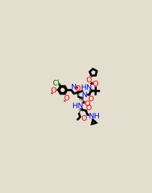 CCC[C@H](NC(=O)[C@@H]1C[C@]2(CC(c3cc(Cl)c(OC)cc3OC)=NO2)CN1C(=O)[C@@H](NC(=O)OC1CCCC1)C(C)(C)C)C(=O)C(=O)NC1CC1